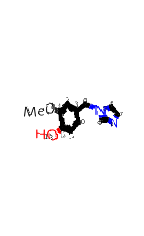 COc1cc(Cn2ccnc2)ccc1O